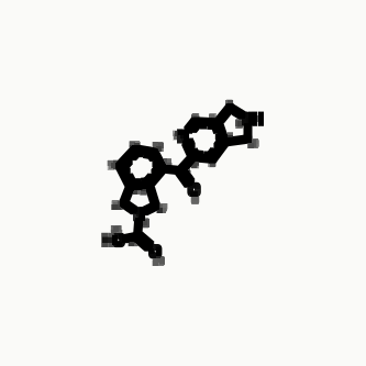 O=C(c1cc2c(cn1)CNC2)c1cccc2c1CN(C(=O)O)C2